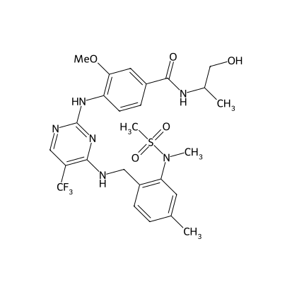 COc1cc(C(=O)NC(C)CO)ccc1Nc1ncc(C(F)(F)F)c(NCc2ccc(C)cc2N(C)S(C)(=O)=O)n1